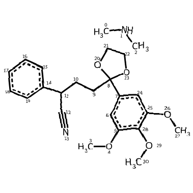 CNC.COc1cc(C2(CCC(C#N)c3ccccc3)OCCO2)cc(OC)c1OC